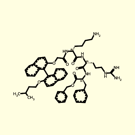 CC(C)CCOc1ccc2ccccc2c1-c1c(OCC(=O)N[C@H](CCCCN)C(=O)N[C@H](CCCNC(=N)N)C(=O)N[C@@H](Cc2ccccc2)C(=O)OCc2ccccc2)ccc2ccccc12